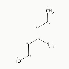 [CH2]CCC(N)CCO